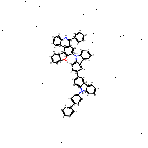 c1ccc(-c2ccc(-n3c4ccccc4c4cc(-c5ccc6c(c5)c5ccccc5n6-c5cc6c(-c7ccccc7)nc7ccccc7c6c6c5oc5ccccc56)ccc43)cc2)cc1